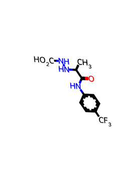 CC(NNC(=O)O)C(=O)Nc1ccc(C(F)(F)F)cc1